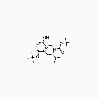 CC(C)C1CN(C(=O)OC(C)(C)C)[C@@H](C(=O)O)CN1C(=O)OC(C)(C)C